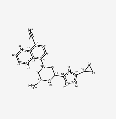 C[C@@H]1CN(c2ccc(C#N)c3nccnc23)CC(c2nc(C3CC3)no2)O1